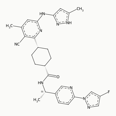 Cc1cc(Nc2cc(C)c(C#N)c([C@H]3CC[C@@H](C(=O)N[C@@H](C)c4ccc(-n5cc(F)cn5)nc4)CC3)n2)n[nH]1